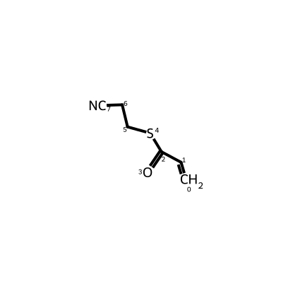 C=CC(=O)SCCC#N